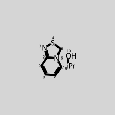 C1=CC2=NSCN2C=C1.CC(C)O